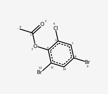 [CH2]C(=O)Oc1c(Cl)cc(Br)cc1Br